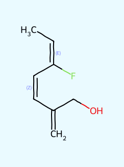 C=C(/C=C\C(F)=C/C)CO